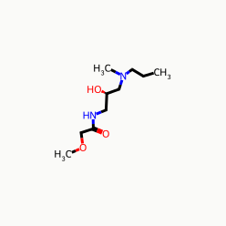 CCCN(C)C[C@H](O)CNC(=O)COC